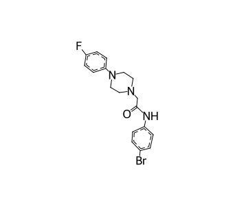 O=C(CN1CCN(c2ccc(F)cc2)CC1)Nc1ccc(Br)cc1